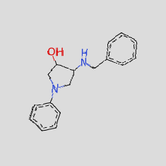 OC1CN(c2ccccc2)CC1NCc1ccccc1